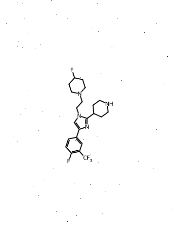 Fc1ccc(-c2cn(CCN3CCC(F)CC3)c(C3CCNCC3)n2)cc1C(F)(F)F